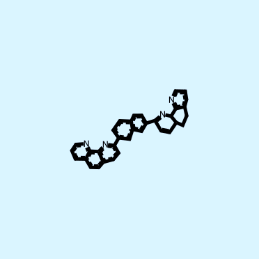 C1=CC2CCc3cccnc3C2N=C1c1ccc2ccc(-c3ccc4ccc5cccnc5c4n3)cc2c1